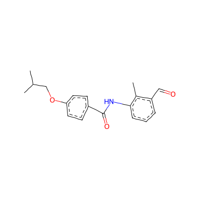 Cc1c(C=O)cccc1NC(=O)c1ccc(OCC(C)C)cc1